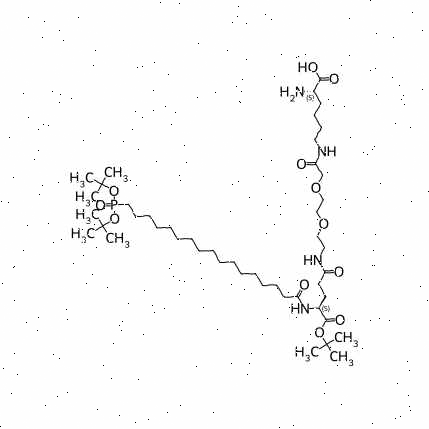 CC(C)(C)OC(=O)[C@H](CCC(=O)NCCOCCOCC(=O)NCCCC[C@H](N)C(=O)O)NC(=O)CCCCCCCCCCCCCCCCP(=O)(OC(C)(C)C)OC(C)(C)C